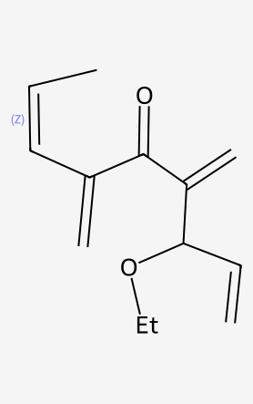 C=CC(OCC)C(=C)C(=O)C(=C)/C=C\C